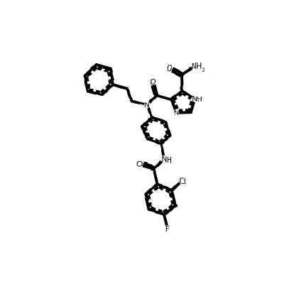 NC(=O)c1[nH]cnc1C(=O)N(CCc1ccccc1)c1ccc(NC(=O)c2ccc(F)cc2Cl)cc1